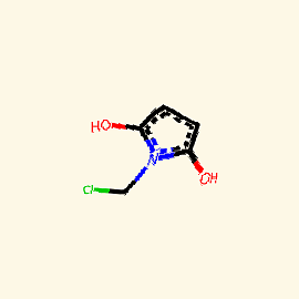 Oc1ccc(O)n1CCl